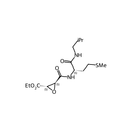 CCOC(=O)[C@H]1O[C@@H]1C(=O)N[C@@H](CCSC)C(=O)NCC(C)C